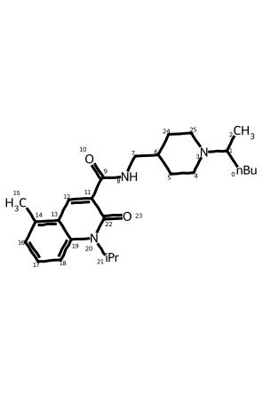 CCCCC(C)N1CCC(CNC(=O)c2cc3c(C)cccc3n(C(C)C)c2=O)CC1